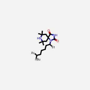 CCCCC(CCCCC(CC)N1C(=O)NC(=O)C12CC(C)(C)NC(C)(C)C2)C(C)=O